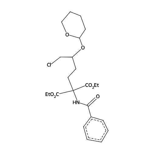 CCOC(=O)C(CCC(CCl)OC1CCCCO1)(NC(=O)c1ccccc1)C(=O)OCC